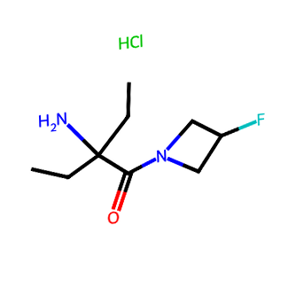 CCC(N)(CC)C(=O)N1CC(F)C1.Cl